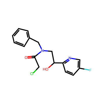 O=C(CCl)N(Cc1ccccc1)CC(O)c1ccc(F)cn1